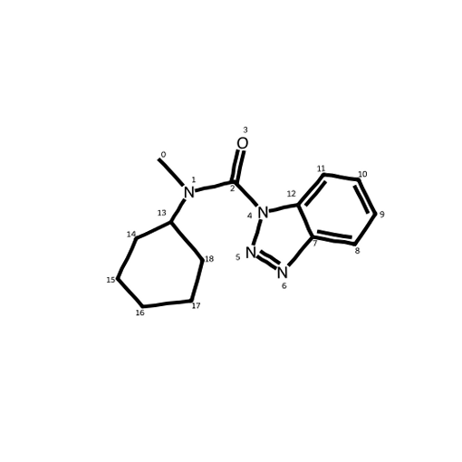 CN(C(=O)n1nnc2ccccc21)C1CCCCC1